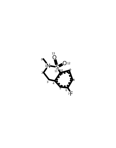 CN1CCc2cc(F)ccc2S1(=O)=O